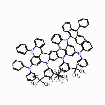 CC(C)(C)c1cc(N2c3cc4c(cc3B3c5ccccc5N(c5ccccc5)c5cc(N(c6ccccc6)c6ccccc6)cc2c53)B2c3ccccc3N(c3c5ccccc5c(-c5ccccc5)c5ccccc35)c3cc(N(c5ccccc5)c5ccccc5)cc(c32)N4c2cc(C(C)(C)C)cc(C(C)(C)C)c2)cc(C(C)(C)C)c1